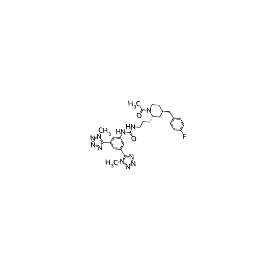 CC(=O)N1CC[C@@H](Cc2ccc(F)cc2)C[C@@H]1CCCNC(=O)Nc1cc(-c2nnnn2C)cc(-c2nnnn2C)c1